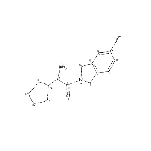 NC(C(=O)N1Cc2ccc(F)cc2C1)C1CCCC1